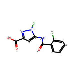 O=C(O)c1cc(NC(=O)c2ccccc2F)n(Cl)n1